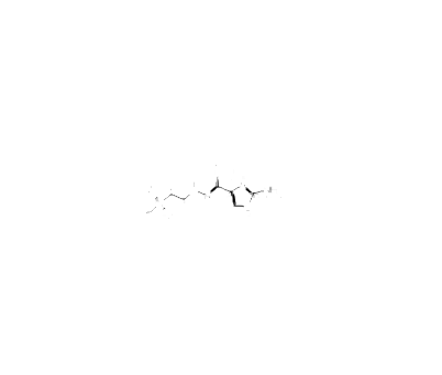 CS(=O)(=O)CCON=C(C(=O)O)c1csc(N)n1